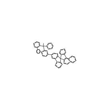 CC1(c2ccccc2)c2ccccc2Oc2ccc(-c3ccc4c(c3)-c3ccccc3C43c4ccccc4-c4c3ccc3ccccc43)cc21